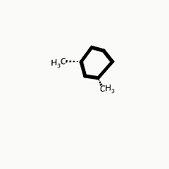 C[C@@H]1CCC[C@H](C)C1